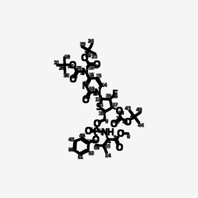 COC(=O)[C@@H](NP(=O)(OC[C@H]1S[C@@H](n2ccc(N(C(=O)OC(C)(C)C)C(=O)OC(C)(C)C)nc2=O)[C@@H](F)[C@@H]1OC(=O)OC(C)(C)C)Oc1ccccc1)C(C)C